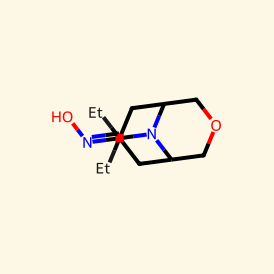 CCC(CC)N1C2COCC1CC(=NO)C2